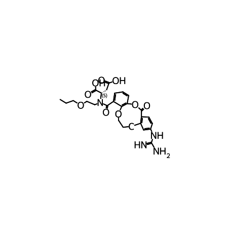 CCCOCCN(C(=O)c1cccc2c1OCCCc1cc(NC(=N)N)ccc1C(=O)O2)[C@@H](CC(=O)O)C(=O)O